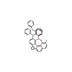 Cc1ccc2ccc3oc4ccc(C(c5ccccc5)c5ccccc5)c(C(C)C5=CC=CC=C(Cc6ccccc6)C5)c4c3c2c1C